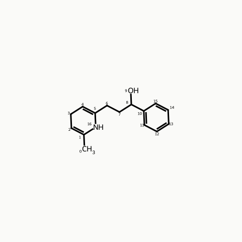 CC1=CCC=C(CCC(O)c2ccccc2)N1